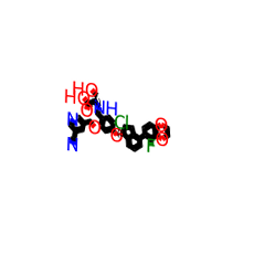 N#Cc1cncc(COc2cc(O[C@H]3CCc4c(-c5ccc6c(c5F)OCCO6)cccc43)c(Cl)cc2CN[C@H](CO)C(=O)O)c1